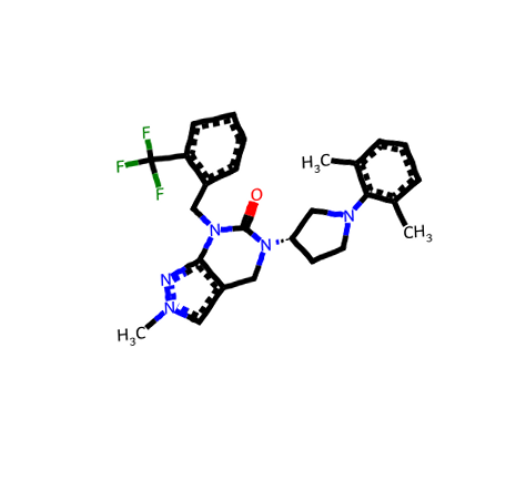 Cc1cccc(C)c1N1CC[C@H](N2Cc3cn(C)nc3N(Cc3ccccc3C(F)(F)F)C2=O)C1